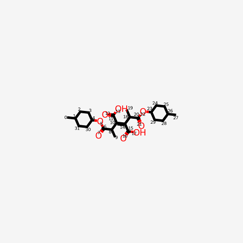 CC1CCC(OC(=O)C(C)C(C(=O)O)=C(C(=O)O)C(C)C(=O)OC2CCC(C)CC2)CC1